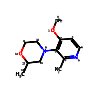 CCCOc1ccnc(C#N)c1N1CCOC(C)C1